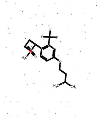 CC(C)CCOc1ccc(C2(S(C)(=O)=O)CCC2)c(C(F)(F)F)c1